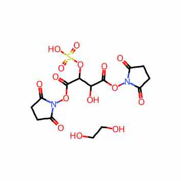 O=C(ON1C(=O)CCC1=O)C(O)C(OS(=O)(=O)O)C(=O)ON1C(=O)CCC1=O.OCCO